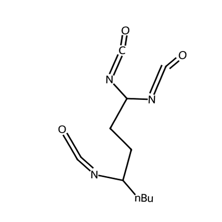 CCCCC(CCC(N=C=O)N=C=O)N=C=O